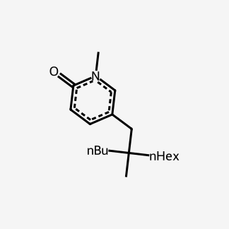 CCCCCCC(C)(CCCC)Cc1ccc(=O)n(C)c1